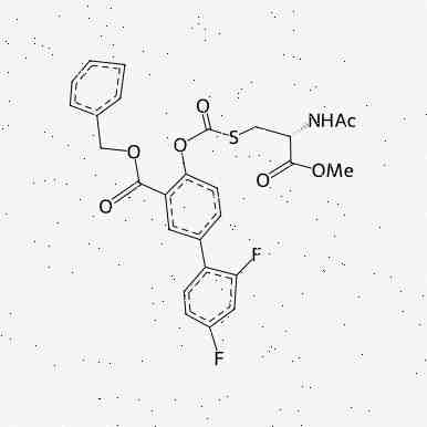 COC(=O)[C@H](CSC(=O)Oc1ccc(-c2ccc(F)cc2F)cc1C(=O)OCc1ccccc1)NC(C)=O